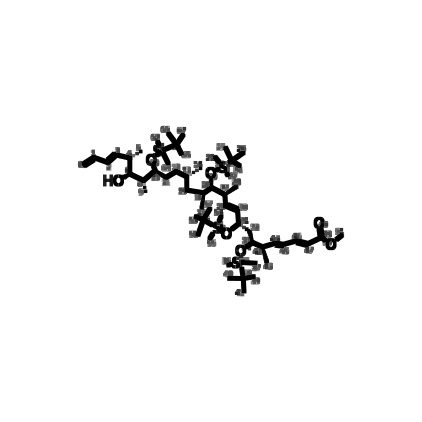 C=CC=C[C@H](C)[C@H](O)[C@@H](C)[C@H](CC[C@H](C)C[C@H](C)[C@@H](O[Si](C)(C)C(C)(C)C)[C@@H](C)C=C[C@H](C[C@H](O[Si](C)(C)C(C)(C)C)[C@H](C)C=CC=CC(=O)OC)O[Si](C)(C)C(C)(C)C)O[Si](C)(C)C(C)(C)C